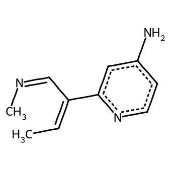 C/C=C(\C=N/C)c1cc(N)ccn1